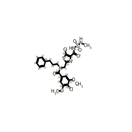 CNS(=O)(=O)NC(=O)c1nc(CN(CCCc2ccccc2)C(=O)c2cc(OC)c(Cl)c(OC)c2)sc1Cl